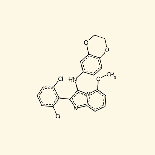 COc1cccc2nc(-c3c(Cl)cccc3Cl)c(Nc3ccc4c(c3)OCCO4)n12